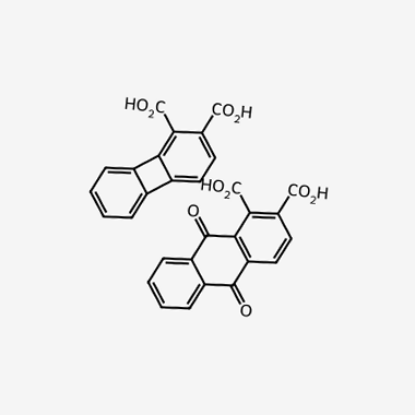 O=C(O)c1ccc2c(c1C(=O)O)-c1ccccc1-2.O=C(O)c1ccc2c(c1C(=O)O)C(=O)c1ccccc1C2=O